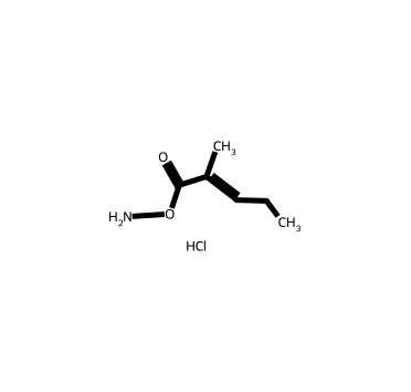 CC/C=C(\C)C(=O)ON.Cl